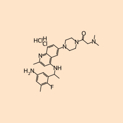 Cc1cc(NC(C)c2cc(N)cc(C)c2F)c2cc(N3CCN(C(=O)CN(C)C)CC3)ccc2n1.Cl.Cl